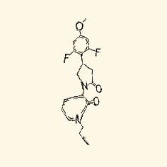 COc1cc(F)c([C@H]2CC(=O)N(c3cccn(CCI)c3=O)C2)c(F)c1